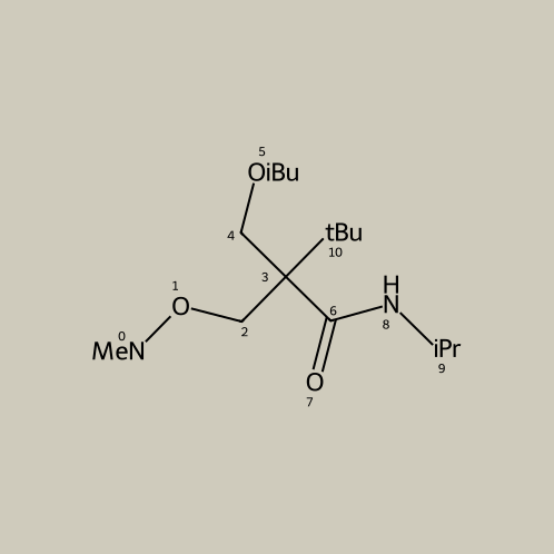 CNOCC(COCC(C)C)(C(=O)NC(C)C)C(C)(C)C